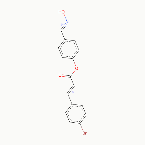 O=C(/C=C/c1ccc(Br)cc1)Oc1ccc(/C=N/O)cc1